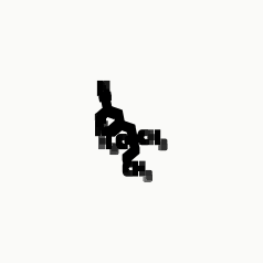 CCCC(C)(C)Cc1cncc(C#N)c1